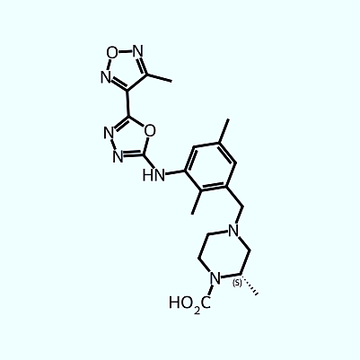 Cc1cc(CN2CCN(C(=O)O)[C@@H](C)C2)c(C)c(Nc2nnc(-c3nonc3C)o2)c1